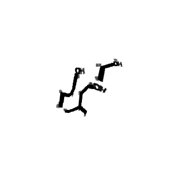 CC(C)CO.CCCO.CCO